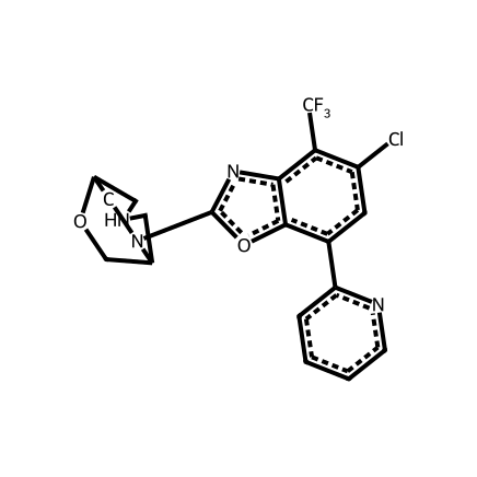 FC(F)(F)c1c(Cl)cc(-c2ccccn2)c2oc(N3CC4CNCC3CO4)nc12